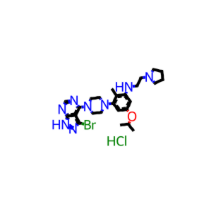 Cc1c(NCCN2CCCC2)cc(OC(C)C)cc1N1CCN(c2ncnc3[nH]nc(Br)c23)CC1.Cl